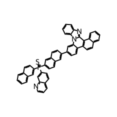 S=P(c1ccc2ccccc2c1)(c1ccc2cc(-c3ccc4c5ccc6ccccc6c5c5nc6ccccc6n5c4c3)ccc2c1)c1ccc2cccnc2c1